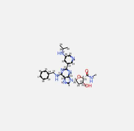 CNC(=O)[C@H]1O[C@@H](n2cnc3c(NCc4ccccc4)nc(-c4cncc(NC(C)C)c4)nc32)C[C@@H]1O